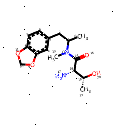 CC(Cc1ccc2c(c1)OCO2)N(C)C(=O)[C@@H](N)[C@@H](C)O